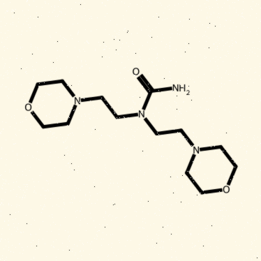 NC(=O)N(CCN1CCOCC1)CCN1CCOCC1